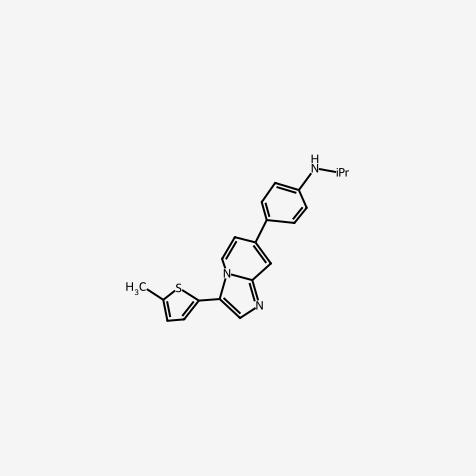 Cc1ccc(-c2cnc3cc(-c4ccc(NC(C)C)cc4)ccn23)s1